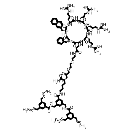 N=C(N)NCCC[C@@H]1NC(=O)[C@H](Cc2ccc3ccccc3c2)NC(=O)[C@@H](Cc2ccccc2)NC(=O)[C@H](CCC(=O)NCCOCCOCC(=O)C[C@@H](CCCCNC(=O)c2cc(CNC(=O)c3cc(CSSP)cc(CSSP)c3)cc(CNC(=O)c3cc(CSSP)cc(CSSP)c3)c2)C(N)=O)NC(=O)[C@@H](CCCNC(=N)N)NC(=O)[C@H](CCCNC(=N)N)NC(=O)[C@@H](CCCNC(=N)N)NC1=O